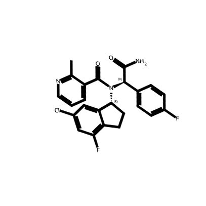 Cc1ncccc1C(=O)N([C@@H]1CCc2c(F)cc(Cl)cc21)[C@@H](C(N)=O)c1ccc(F)cc1